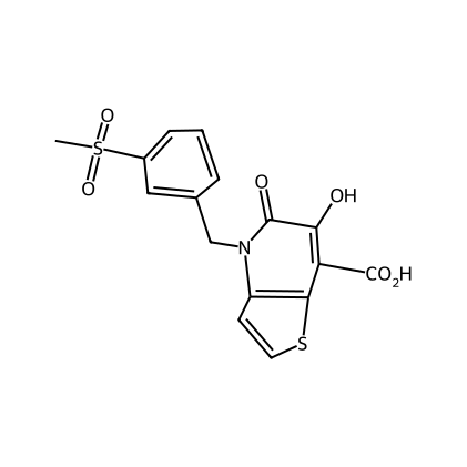 CS(=O)(=O)c1cccc(Cn2c(=O)c(O)c(C(=O)O)c3sccc32)c1